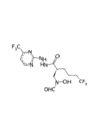 O=CN(O)C[C@H](CCCC(F)(F)F)C(=O)NNc1nccc(C(F)(F)F)n1